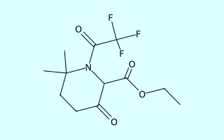 CCOC(=O)C1C(=O)CCC(C)(C)N1C(=O)C(F)(F)F